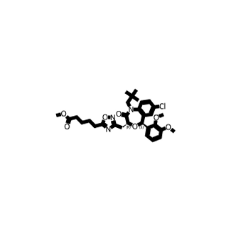 COC(=O)CCCCc1nc(C[C@H]2O[C@H](c3cccc(OC)c3OC)c3cc(Cl)ccc3N(CC(C)(C)C)C2=O)no1